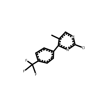 Cc1cnc(Cl)nc1-c1ccc(C(F)(F)F)cc1